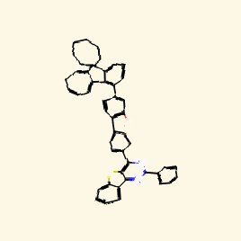 C1=CCC=C2C(=C1)c1c(-c3ccc4c(c3)oc3cc(-c5nc(-c6ccccc6)nc6c5sc5ccccc56)ccc34)cccc1C21CCCCCC1